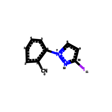 N#Cc1ccccc1-n1ccc(I)n1